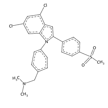 CN(C)Cc1ccc(-n2c(-c3ccc(S(C)(=O)=O)cc3)cc3c(Cl)cc(Cl)cc32)cc1